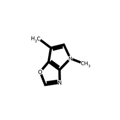 Cc1cn(C)c2ncoc12